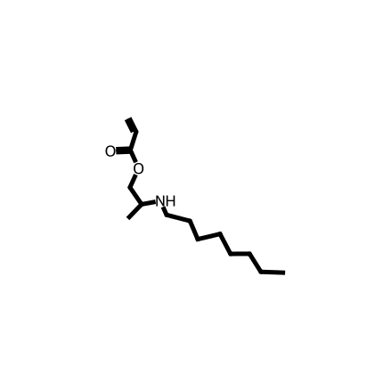 C=CC(=O)OCC(C)NCCCCCCCC